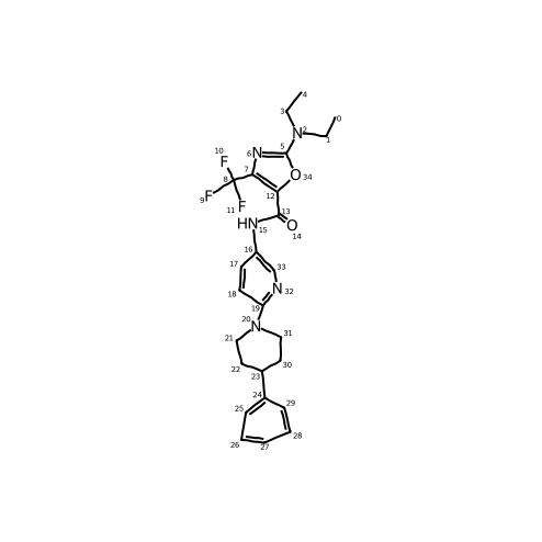 CCN(CC)c1nc(C(F)(F)F)c(C(=O)Nc2ccc(N3CCC(c4ccccc4)CC3)nc2)o1